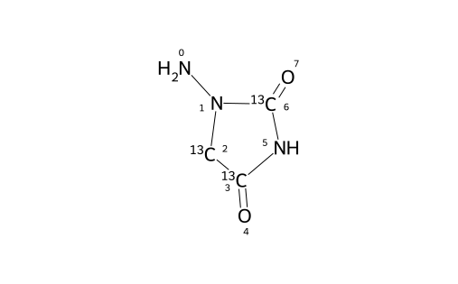 NN1[13CH2][13C](=O)N[13C]1=O